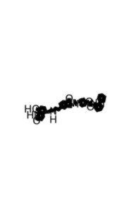 O=C(Nc1ccccc1-c1ccccc1)OC1CCN(CCN2Cc3cc(CCNCCc4ccc(O)c5[nH]c(=O)ccc45)ccc3C2=O)CC1